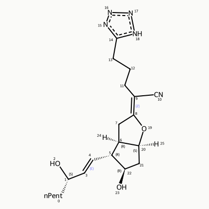 CCCCC[C@H](O)/C=C/[C@@H]1[C@H]2C/C(=C(/C#N)CCCc3nnn[nH]3)O[C@H]2C[C@H]1O